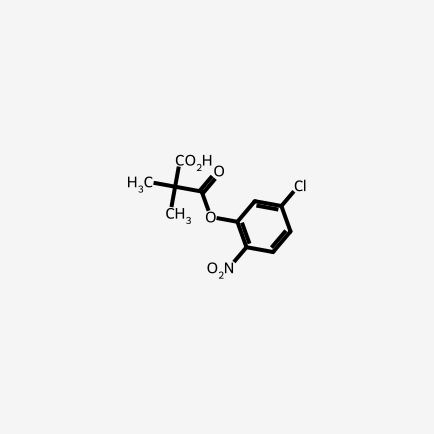 CC(C)(C(=O)O)C(=O)Oc1cc(Cl)ccc1[N+](=O)[O-]